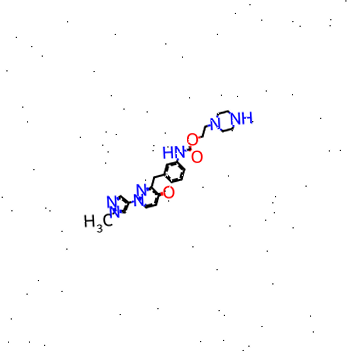 Cn1cc(-n2ccc(=O)c(Cc3cccc(NC(=O)OCCN4CCNCC4)c3)n2)cn1